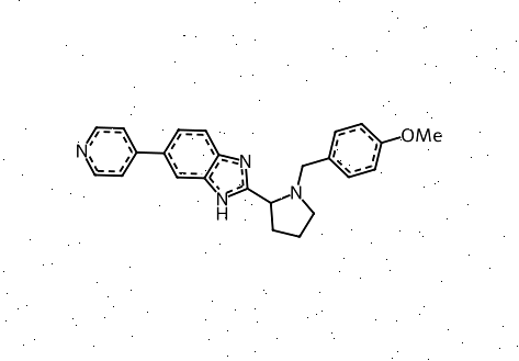 COc1ccc(CN2CCCC2c2nc3ccc(-c4ccncc4)cc3[nH]2)cc1